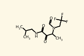 CC(C)CNC(=O)C(=O)C(C)N(C=O)CC(F)(F)F